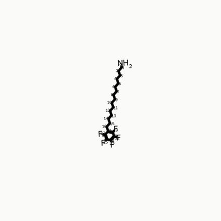 NCCCCCCCCCCCCCCCCc1c(F)c(F)c(F)c(F)c1F